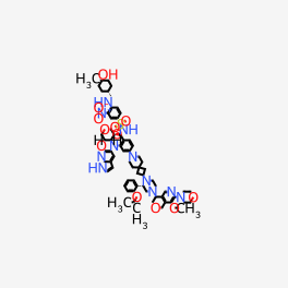 COc1c(N2CCOCC2)ncc2c1COC[C@@H]2N1CCN(C2CC3(CCN(c4ccc(C(=O)NS(=O)(=O)c5ccc(NC[C@H]6CC[C@](C)(O)CC6)c([N+](=O)[O-])c5)c(N5c6cc7cc[nH]c7nc6O[C@H]6COCC[C@@H]65)c4)CC3)C2)[C@@H](c2ccccc2OC(C)C)C1